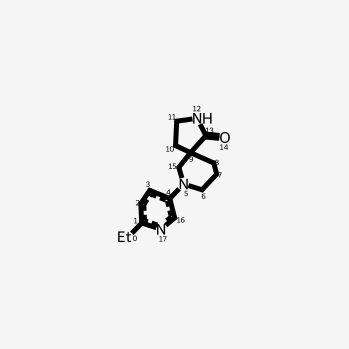 CCc1ccc(N2CCCC3(CCNC3=O)C2)cn1